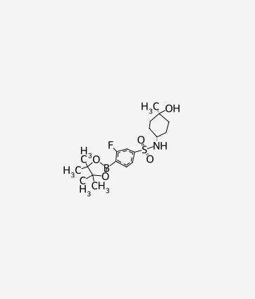 CC1(C)OB(c2ccc(S(=O)(=O)N[C@H]3CC[C@](C)(O)CC3)cc2F)OC1(C)C